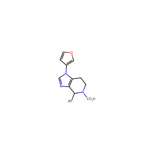 CC(C)C1c2ncn(-c3ccoc3)c2CCN1C(=O)O